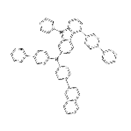 c1ccc(-c2ccc(-c3cccc4c3c3ccc(N(c5ccc(-c6ccccc6)cc5)c5ccc(-c6ccc7ccccc7c6)cc5)cc3n4-c3ccccc3)cc2)cc1